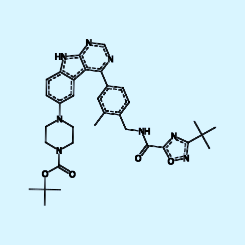 Cc1cc(-c2ncnc3[nH]c4ccc(N5CCN(C(=O)OC(C)(C)C)CC5)cc4c23)ccc1CNC(=O)c1nc(C(C)(C)C)no1